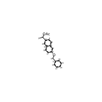 CC(=O)OC(C)c1ccc2cc(OCc3ccccc3)ccc2c1